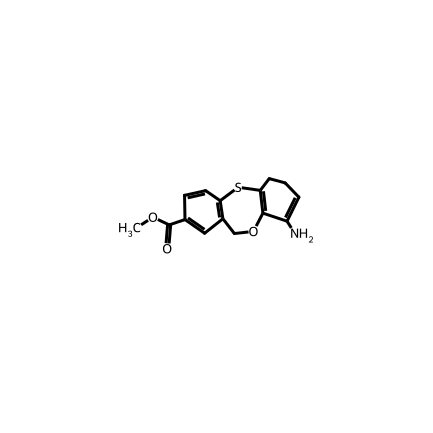 COC(=O)c1ccc2c(c1)COC1=C(CCC=C1N)S2